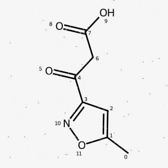 Cc1cc(C(=O)CC(=O)O)no1